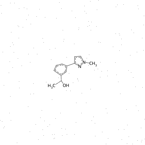 CC(O)c1cccc(-c2ccn(C)n2)c1